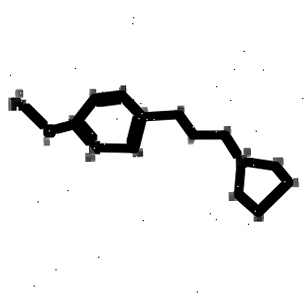 CC(C)Oc1ccc(CCCN2CCCC2)cn1